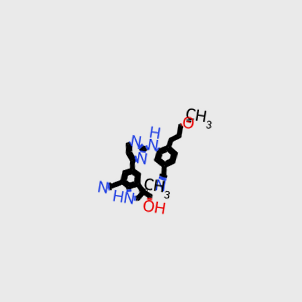 COCCCc1ccc(C#N)cc1Nc1nccc(-c2cc(C#N)c3c(c2)[C@@](C)(CO)CN3)n1